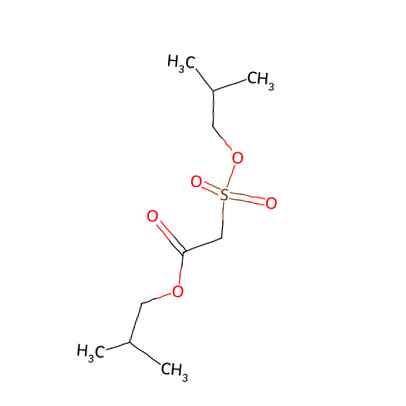 CC(C)COC(=O)CS(=O)(=O)OCC(C)C